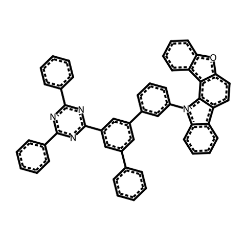 c1ccc(-c2cc(-c3cccc(-n4c5ccccc5c5ccc6oc7ccccc7c6c54)c3)cc(-c3nc(-c4ccccc4)nc(-c4ccccc4)n3)c2)cc1